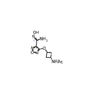 CC(=O)N[C@H]1C[C@@H](Oc2nonc2/C(N)=N/O)C1